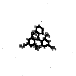 Cc1cc(C)c(B(c2[c]ccc[c]2)c2c(C)cc(C)cc2C)c(C)c1